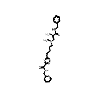 N/C(=C\N(N)CCCCc1nnc(C(=O)NCc2ccccn2)s1)C(=O)NCc1ccccc1